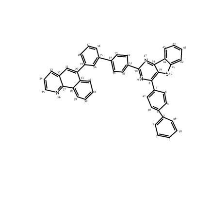 c1ccc(-c2ccc(-c3nc(-c4ccc(-c5cccc(-c6cc7cccnc7c7ccccc67)c5)cc4)nc4c3sc3ccccc34)cc2)cc1